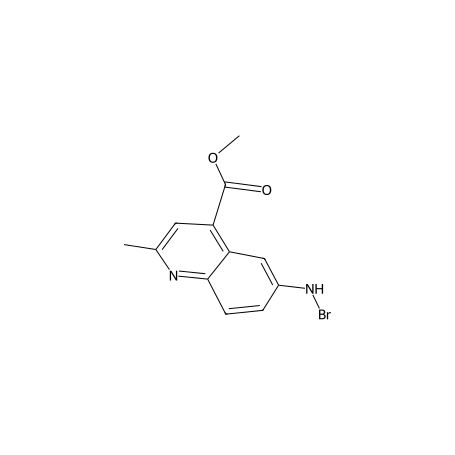 COC(=O)c1cc(C)nc2ccc(NBr)cc12